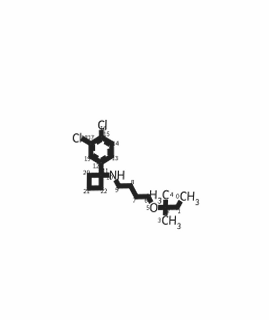 CCC(C)(C)OCCCCNC1(c2ccc(Cl)c(Cl)c2)CCC1